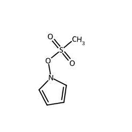 CS(=O)(=O)On1cccc1